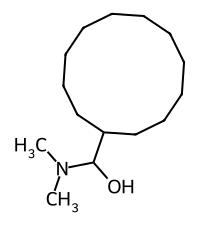 CN(C)C(O)C1CCCCCCCCCCC1